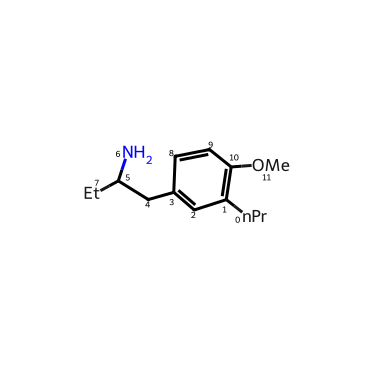 CCCc1cc(CC(N)CC)ccc1OC